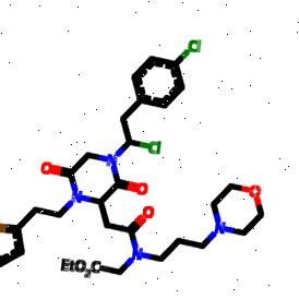 CCOC(=O)CN(CCCN1CCOCC1)C(=O)CC1C(=O)N(C(Cl)Cc2ccc(Cl)cc2)CC(=O)N1CCc1cccs1